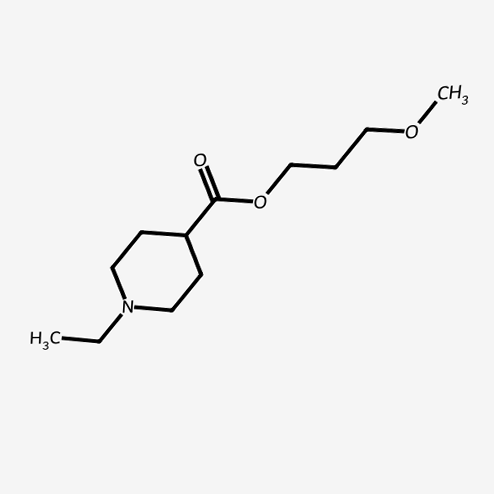 CCN1CCC(C(=O)OCCCOC)CC1